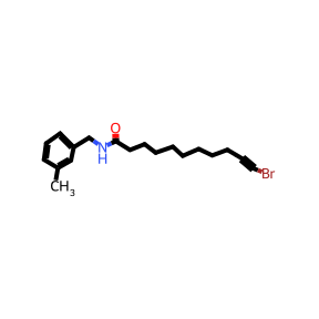 Cc1cccc(CNC(=O)CCCCCCCCC#CBr)c1